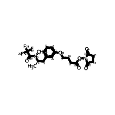 C[C@@H](Cc1cccc(OCCCC(=O)ON2C(=O)CCC2=O)c1)N(C)C(=O)C(F)(F)F